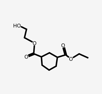 CCOC(=O)C1CCCC(C(=O)OCCO)C1